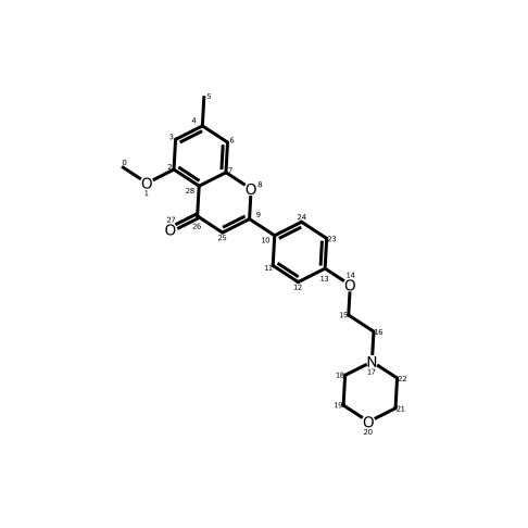 COc1cc(C)cc2oc(-c3ccc(OCCN4CCOCC4)cc3)cc(=O)c12